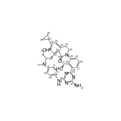 CN(CCO)c1ccc(Nc2nc(N)nc(-c3cccc(N4CCc5cc(C6CC6)cc(F)c5C4=O)c3CO)n2)cc1